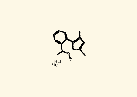 CC1=CC(C)=C(c2ccccc2C(C)[O][Ti])C1.Cl.Cl